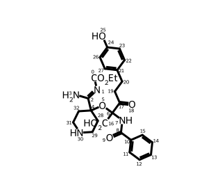 CCOC(=O)N=C(N)C1(OC(NC(=O)c2ccccc2)(C(=O)O)C(=O)CCc2ccc(O)cc2)CCNCC1